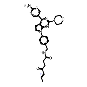 C/C=C/C(=O)CCC(=O)NCc1ccc(-n2ccc3c(-c4cnc(N)nc4)nc(N4CCOCC4)nc32)cc1